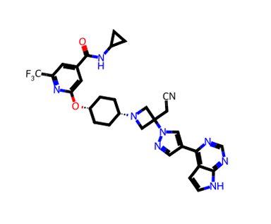 N#CCC1(n2cc(-c3ncnc4[nH]ccc34)cn2)CN([C@H]2CC[C@@H](Oc3cc(C(=O)NC4CC4)cc(C(F)(F)F)n3)CC2)C1